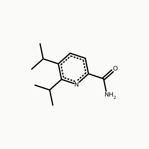 CC(C)c1ccc(C(N)=O)nc1C(C)C